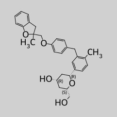 Cc1ccc([C@H]2C[C@@H](O)C[C@@H](CO)O2)cc1Cc1ccc(OCC2(C)Cc3ccccc3O2)cc1